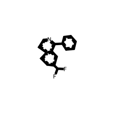 FC(F)c1ccc2ccnc(-c3ccccc3)c2c1